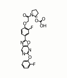 O=C(O)O[C@H]1CCCN1C(=O)COc1ccc(-c2nc3cnc(Oc4ccccc4F)nc3o2)cc1F